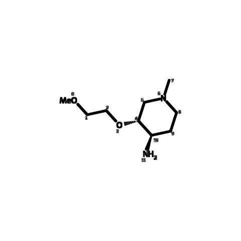 COCCO[C@@H]1CN(C)CC[C@H]1N